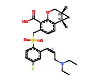 CCN(CC)C/C=C\c1cc(F)ccc1S(=O)(=O)Cc1ccc2c(c1C(=O)O)OC[C@@H]1C[C@H]21